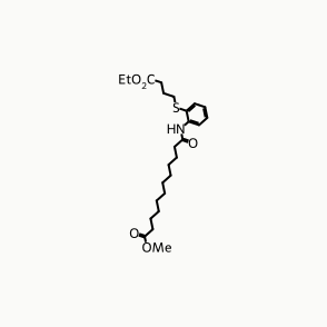 CCOC(=O)CCCSc1ccccc1NC(=O)CCCCCCCCCCC(=O)OC